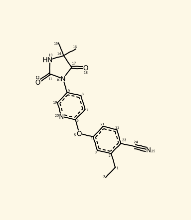 CCc1cc(Oc2ccc(N3C(=O)NC(C)(C)C3=O)cn2)ccc1C#N